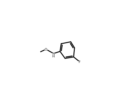 CONc1cccc(F)c1